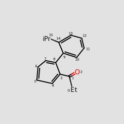 CCC(=O)c1ccccc1-c1ccccc1C(C)C